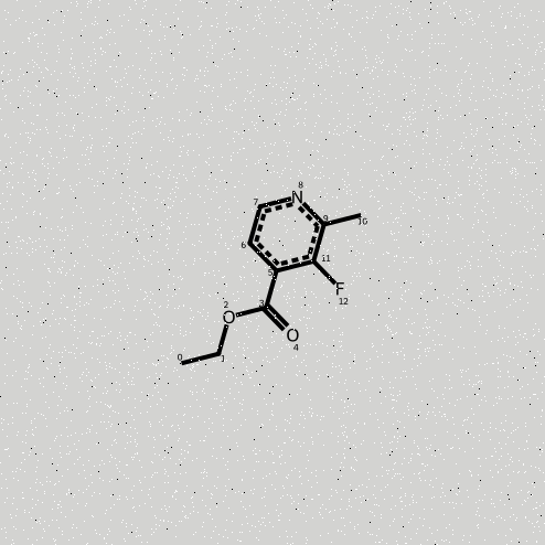 CCOC(=O)c1ccnc(C)c1F